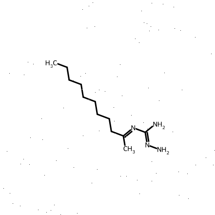 CCCCCCCCCC(C)=NC(N)=NN